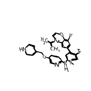 CC(C)N1CCOc2c(F)cc(-c3cc(Nc4ccc(OCC5CCNCC5)cn4)ncc3F)cc21